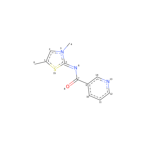 Cc1cn(C)/c(=N/C(=O)c2cccnc2)s1